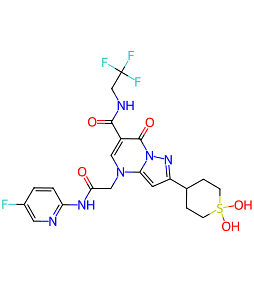 O=C(Cn1cc(C(=O)NCC(F)(F)F)c(=O)n2nc(C3CCS(O)(O)CC3)cc12)Nc1ccc(F)cn1